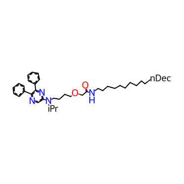 CCCCCCCCCCCCCCCCCCCCNC(=O)COCCCCN(c1cnc(-c2ccccc2)c(-c2ccccc2)n1)C(C)C